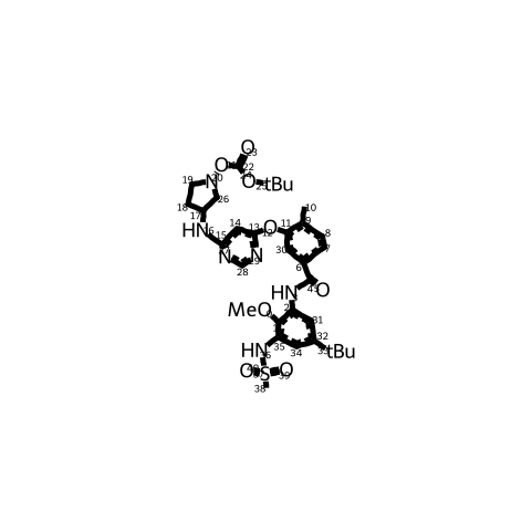 COc1c(NC(=O)c2ccc(C)c(Oc3cc(NC4CCN(OC(=O)OC(C)(C)C)C4)ncn3)c2)cc(C(C)(C)C)cc1NS(C)(=O)=O